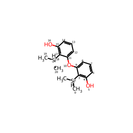 C[SiH](C)c1c(O)cccc1Oc1cccc(O)c1[SiH](C)C